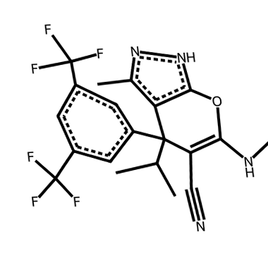 CNC1=C(C#N)C(c2cc(C(F)(F)F)cc(C(F)(F)F)c2)(C(C)C)c2c(C)n[nH]c2O1